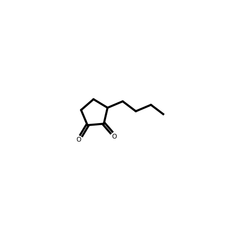 CCCCC1CCC(=O)C1=O